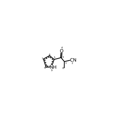 CC(C#N)C(=O)c1ccc[nH]1